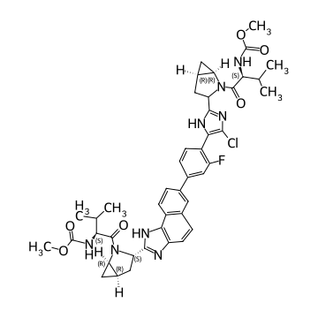 COC(=O)N[C@H](C(=O)N1C(c2nc(Cl)c(-c3ccc(-c4ccc5c(ccc6nc([C@@H]7C[C@H]8C[C@H]8N7C(=O)[C@@H](NC(=O)OC)C(C)C)[nH]c65)c4)cc3F)[nH]2)C[C@H]2C[C@H]21)C(C)C